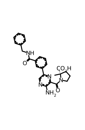 C[C@@]1(C(=O)O)CCCN1C(=O)c1nc(-c2cccc(C(=O)NCc3ccccc3)c2)cnc1N